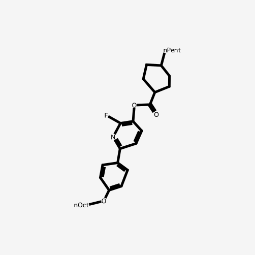 CCCCCCCCOc1ccc(-c2ccc(OC(=O)C3CCC(CCCCC)CC3)c(F)n2)cc1